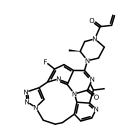 C=CC(=O)N1CCN(c2nc(=O)n3c4nc(c(F)cc24)-c2cn(nn2)CCCc2ccnc(C(C)C)c2-3)[C@@H](C)C1